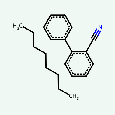 CCCCCCCC.N#Cc1ccccc1-c1ccccc1